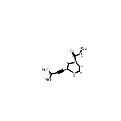 CC(O)C#C[C@H]1CN(C(=O)OC(C)(C)C)CCO1